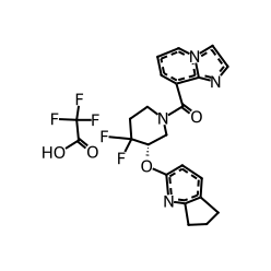 O=C(O)C(F)(F)F.O=C(c1cccn2ccnc12)N1CCC(F)(F)[C@@H](Oc2ccc3c(n2)CCC3)C1